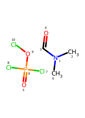 CN(C)C=O.O=P(Cl)(Cl)OCl